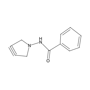 O=C(NN1CC#CC1)c1ccccc1